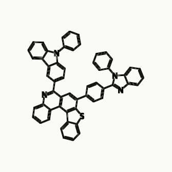 c1ccc(-n2c(-c3ccc(-c4cc5c(-c6ccc7c(c6)c6ccccc6n7-c6ccccc6)nc6ccccc6c5c5c4sc4ccccc45)cc3)nc3ccccc32)cc1